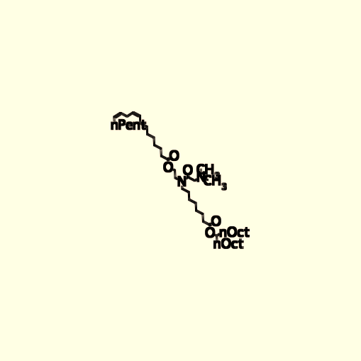 CCCCC/C=C\C/C=C\CCCCCCCC(=O)OCCN(CCCCCCCC(=O)OC(CCCCCCCC)CCCCCCCC)C(=O)CN(C)C